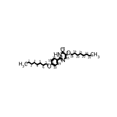 CCCCCCCCOc1ccc(-c2ncc(OCCCCCCCC)c(=O)[nH]2)cc1